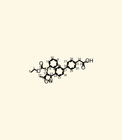 CCOC(=O)N(c1ccccc1)c1c(-c2ccc(-c3ccc(CC(=O)O)cc3)cc2)noc1C